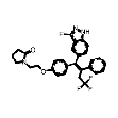 O=C1CCCN1CCOc1ccc(C(=C(CC(F)(F)F)c2ccccc2)c2ccc3[nH]nc(F)c3c2)cc1